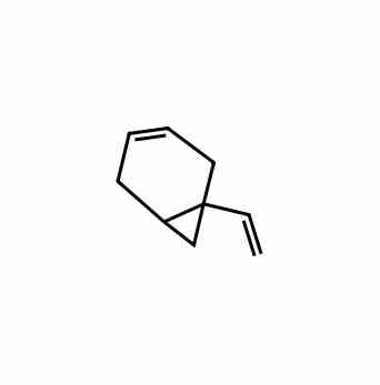 C=CC12CC=CCC1C2